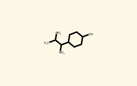 CC(N)C(N)C1CCC(O)CC1